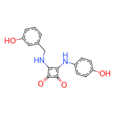 O=c1c(NCc2cccc(O)c2)c(Nc2ccc(O)cc2)c1=O